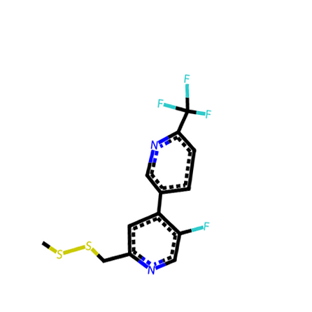 CSSCc1cc(-c2ccc(C(F)(F)F)nc2)c(F)cn1